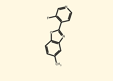 Cc1ccc2oc(-c3ccncc3F)nc2c1